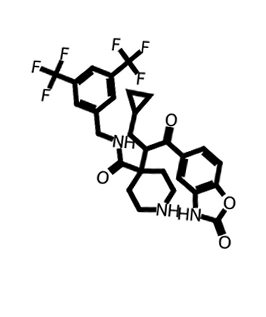 O=C(c1ccc2oc(=O)[nH]c2c1)C(CC1CC1)C1(C(=O)NCc2cc(C(F)(F)F)cc(C(F)(F)F)c2)CCNCC1